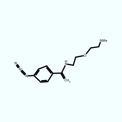 C=C(NCCOCCNC)c1ccc(N=[N+]=[N-])cc1